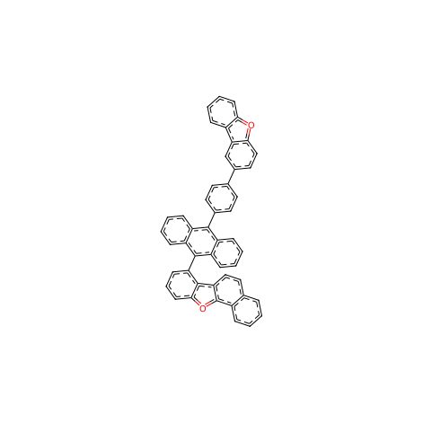 c1ccc2c(c1)ccc1c2oc2cccc(-c3c4ccccc4c(-c4ccc(-c5ccc6oc7ccccc7c6c5)cc4)c4ccccc34)c21